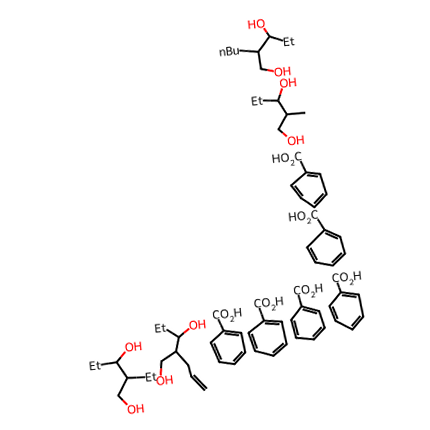 C=CCC(CO)C(O)CC.CCC(O)C(C)CO.CCC(O)C(CC)CO.CCCCC(CO)C(O)CC.O=C(O)c1ccccc1.O=C(O)c1ccccc1.O=C(O)c1ccccc1.O=C(O)c1ccccc1.O=C(O)c1ccccc1.O=C(O)c1ccccc1